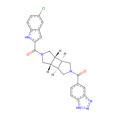 O=C(c1ccc2[nH]nnc2c1)N1C[C@@H]2[C@H](C1)[C@H]1CN(C(=O)c3cc4cc(Cl)ccc4[nH]3)C[C@@H]21